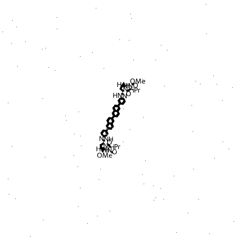 COC(=O)N[C@H](C(=O)N1[C@@H]2C[C@@H]2C[C@H]1c1nc2ccc(-c3ccc4cc(-c5ccc6cc(-c7ccc8nc([C@@H]9C[C@H]%10C[C@H]%10N9C(=O)[C@@H](NC(=O)OC)C(C)C)[nH]c8c7)ccc6c5)ccc4c3)cc2[nH]1)C(C)C